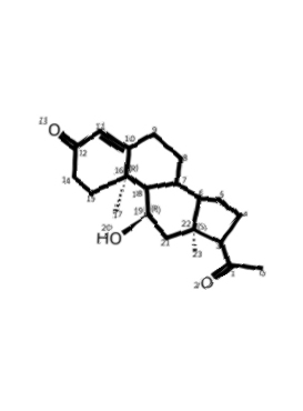 CC(=O)C1CCC2C3CCC4=CC(=O)CC[C@]4(C)C3[C@H](O)C[C@]12C